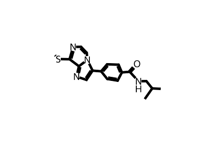 CSc1nccn2c(-c3ccc(C(=O)NCC(C)C)cc3)cnc12